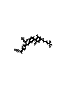 Cc1cc(OCCCS(C)(=O)=O)cc(C)c1-c1cccc(CN(C(=O)OC(C)(C)C)c2cnc(C3C[C@@H]3C(=O)O)cn2)c1